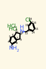 Cl.Cl.Nc1ccc2c(c1)CC(NCc1cccc(Cl)c1)C2